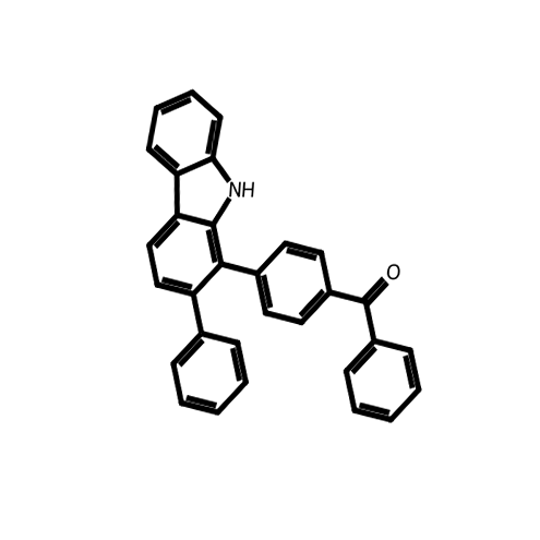 O=C(c1ccccc1)c1ccc(-c2c(-c3ccccc3)ccc3c2[nH]c2ccccc23)cc1